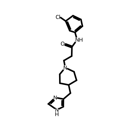 O=C(CCN1CCC(Cc2c[nH]cn2)CC1)Nc1cccc(Cl)c1